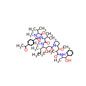 CC[C@H](C)C(C(CC(=O)N1CCCC1C(OC)C(C)C(=O)NC(C)C(O)c1ccccc1)OC)N(C)C(=O)[C@@H](NC(=O)C(C(C)C)N(C)C(=O)c1ccc(C(C)=O)cc1)C(C)C